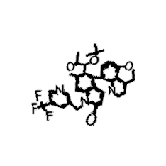 CC(=O)C(OC(C)(C)C)c1c(C)cc2c(ccc(=O)n2Cc2cncc(C(F)(F)F)c2)c1-c1ccc2c3c(ccnc13)CCO2